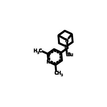 Cc1cc(CN2C3CC2CN(C(C)(C)C)C3)cc(C)n1